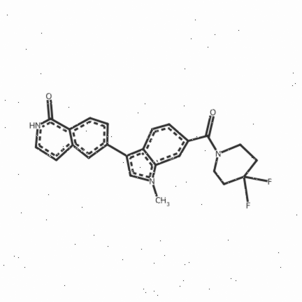 Cn1cc(-c2ccc3c(=O)[nH]ccc3c2)c2ccc(C(=O)N3CCC(F)(F)CC3)cc21